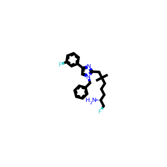 CC(C)([CH]c1nc(-c2cccc(F)c2)cn1Cc1ccccc1)CCC[C@@H](N)CF